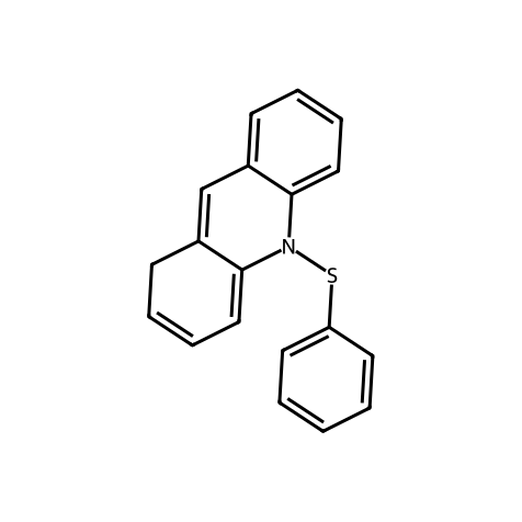 C1=CCC2=Cc3ccccc3N(Sc3ccccc3)C2=C1